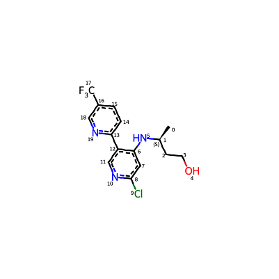 C[C@@H](CCO)Nc1cc(Cl)ncc1-c1ccc(C(F)(F)F)cn1